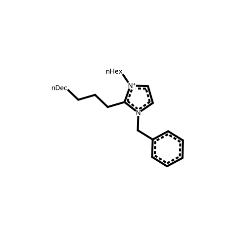 CCCCCCCCCCCCCc1n(Cc2ccccc2)cc[n+]1CCCCCC